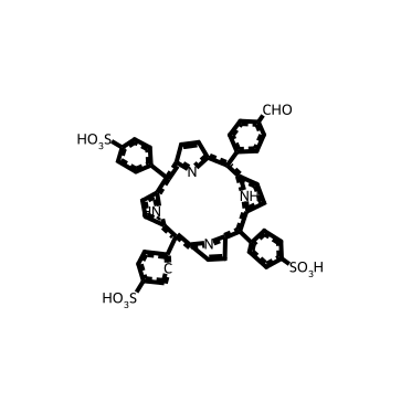 O=Cc1ccc(-c2c3nc(c(-c4ccc(S(=O)(=O)O)cc4)c4ccc([nH]4)c(-c4ccc(S(=O)(=O)O)cc4)c4nc(c(-c5ccc(S(=O)(=O)O)cc5)c5ccc2[nH]5)C=C4)C=C3)cc1